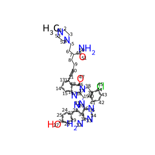 CN1CCN(CCC(CCC#Cc2cccc3nc(Cn4nc(-c5ccc(O)cc5)c5c(N)ncnc54)n(Cc4ccccc4Cl)c(=O)c23)C(N)=O)CC1